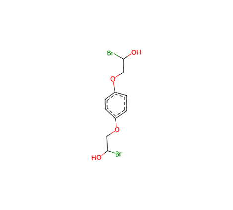 OC(Br)COc1ccc(OCC(O)Br)cc1